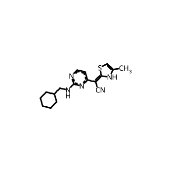 CC1=CSC(=C(C#N)c2ccnc(NCC3CCCCC3)n2)N1